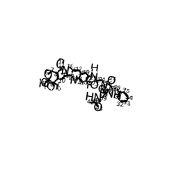 CC[C@@]1(O)C(=O)OCc2c1cc1n(c2=O)Cc2cc3cc(NC(=O)CNC(=O)[C@H](Cc4ccccc4)NC(=O)CNC(C)=O)c(F)cc3nc2-1